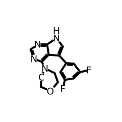 Fc1cc(F)cc(-c2c[nH]c3ncnc(N4CCOCC4)c23)c1